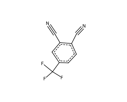 N#Cc1ccc(C(F)(F)F)cc1C#N